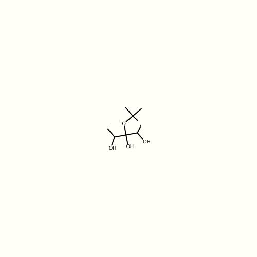 CC(C)(C)OC(O)(C(O)I)C(O)I